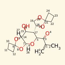 C=C(C)C(=O)C1O[C@H]2OC3(CCC3)O[C@@H]2[C@@H](O)[C@@H]1C1COC2(CCC2)O1